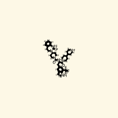 O=C(NC(Cc1cc(C(F)(F)F)c2[nH]ncc2c1)C(=O)N1CCC(C2CCNCC2)CC1)N1CCC(N2CCc3ccccc3NC2=O)CC1